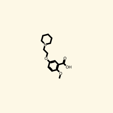 COc1ccc(OCCN2CCCCC2)cc1C(=O)O